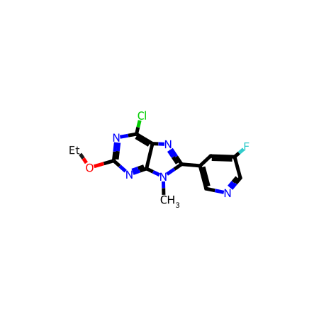 CCOc1nc(Cl)c2nc(-c3cncc(F)c3)n(C)c2n1